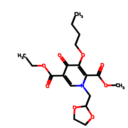 CCCCOc1c(C(=O)OC)n(CC2OCCO2)cc(C(=O)OCC)c1=O